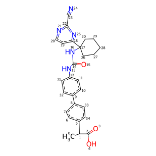 CC(C(=O)O)c1ccc(-c2ccc(NC(=O)NC3(c4ccnc(C#N)n4)CCCCC3)cc2)cc1